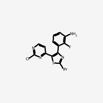 CC(C)c1nc(-c2cccc(N)c2F)c(-c2ccnc(Cl)n2)s1